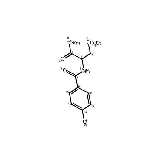 CCCCCCCCCC(=O)C(CC(=O)OCC)NC(=O)c1ccc(Cl)cc1